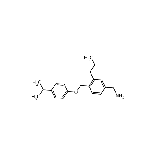 CCCc1cc(CN)ccc1COc1ccc(C(C)C)cc1